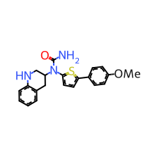 COc1ccc(-c2ccc(N(C(N)=O)C3CNc4ccccc4C3)s2)cc1